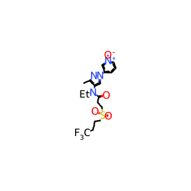 CCN(C(=O)CCS(=O)(=O)CCCC(F)(F)F)c1cn(-c2ccc[n+]([O-])c2)nc1C